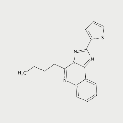 CCCCc1nc2ccccc2c2nc(-c3cccs3)nn12